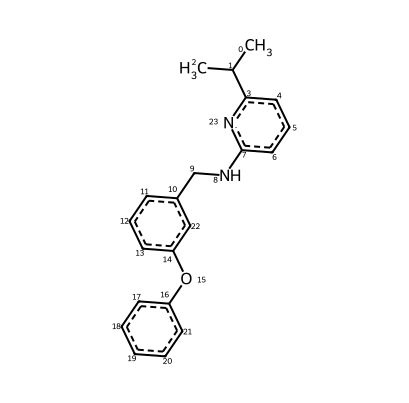 CC(C)c1cccc(NCc2cccc(Oc3ccccc3)c2)n1